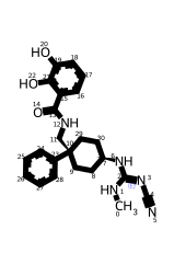 CN/C(=N\C#N)N[C@H]1CC[C@](CNC(=O)c2cccc(O)c2O)(c2ccccc2)CC1